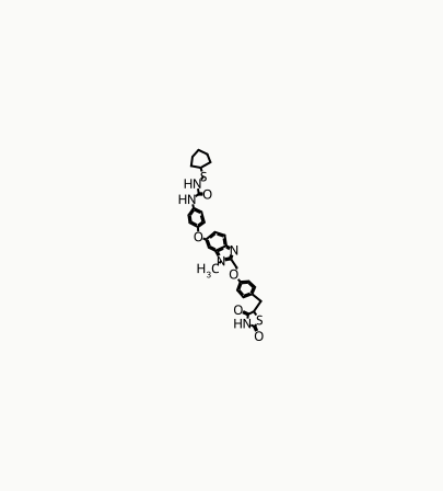 Cn1c(COc2ccc(CC3SC(=O)NC3=O)cc2)nc2ccc(Oc3ccc(NC(=O)NSC4CCCCC4)cc3)cc21